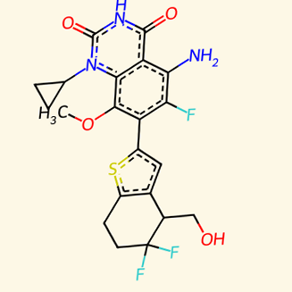 COc1c(-c2cc3c(s2)CCC(F)(F)C3CO)c(F)c(N)c2c(=O)[nH]c(=O)n(C3CC3)c12